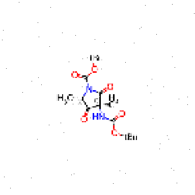 C[C@H]1C(=O)[C@@](C)(NC(=O)OC(C)(C)C)C(=O)N1C(=O)OC(C)(C)C